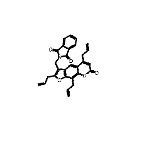 C=CCc1oc2c(CC=C)c3oc(=O)cc(CC=C)c3cc2c1CN1C(=O)c2ccccc2C1=O